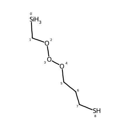 [SiH3]COOOCCCS